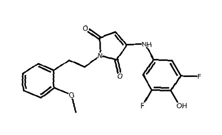 COc1ccccc1CCN1C(=O)C=C(Nc2cc(F)c(O)c(F)c2)C1=O